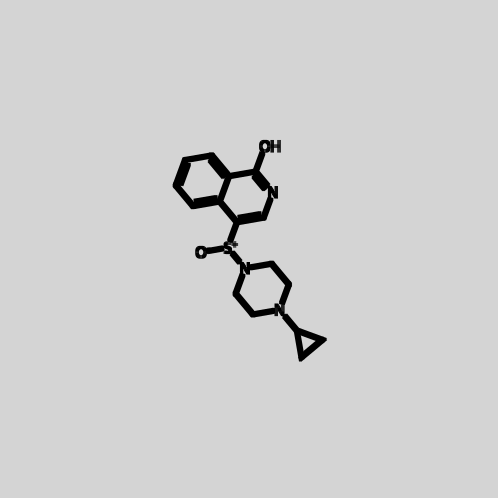 [O-][S+](c1cnc(O)c2ccccc12)N1CCN(C2CC2)CC1